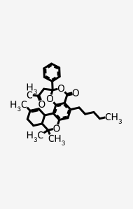 CCCCCc1cc2c(c3c1C(=O)OC(CC(C)=O)(c1ccccc1)O3)C1C=C(C)CCC1C(C)(C)O2